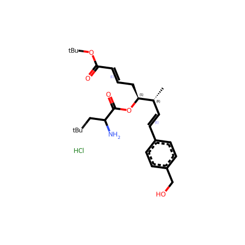 C[C@H](/C=C/c1ccc(CO)cc1)[C@H](C/C=C/C(=O)OC(C)(C)C)OC(=O)C(N)CC(C)(C)C.Cl